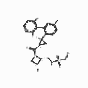 O=C([C@@H]1C[C@@]1(F)c1ccc(F)cc1-c1c(F)cccc1F)N1C[C@@H](F)[C@H]1CNS(=O)(=O)CBr